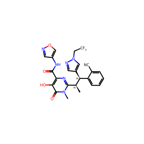 C[C@@H](c1nc(C(=O)Nc2cnoc2)c(O)c(=O)n1C)[C@@H](c1cnn(CC(F)(F)F)c1)c1ccccc1C#N